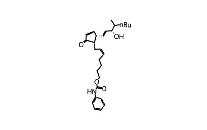 CCCCC(C)[C@H](O)/C=C/[C@H]1C=CC(=O)[C@@H]1C/C=C\CCCCOC(=O)Nc1ccccc1